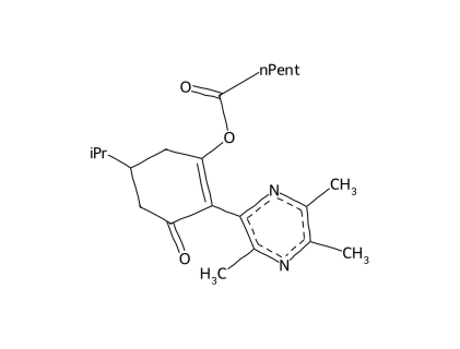 CCCCCC(=O)OC1=C(c2nc(C)c(C)nc2C)C(=O)CC(C(C)C)C1